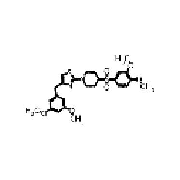 COc1cc(Cc2csc(N3CCC(S(=O)(=O)c4ccc(OC)c(OC)c4)CC3)n2)cc(OC)c1